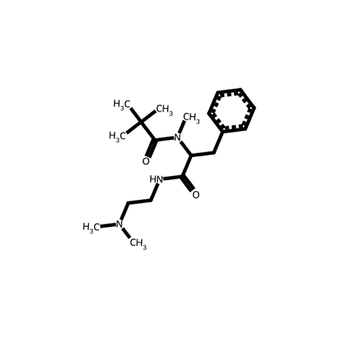 CN(C)CCNC(=O)C(Cc1ccccc1)N(C)C(=O)C(C)(C)C